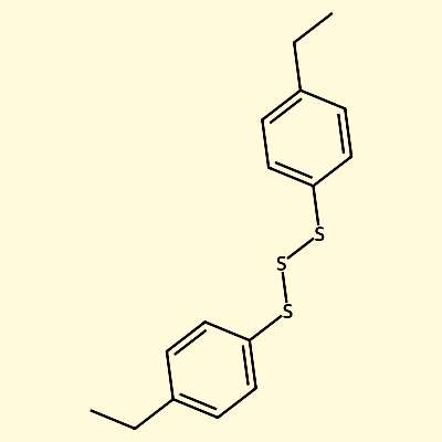 CCc1ccc(SSSc2ccc(CC)cc2)cc1